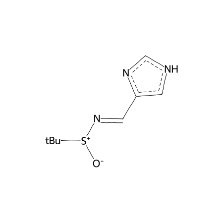 CC(C)(C)[S+]([O-])/N=C/c1c[nH]cn1